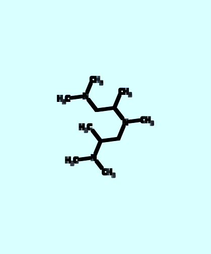 CC(CN(C)C(C)CN(C)C)N(C)C